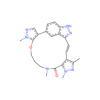 Cc1nn(C)c2c1/C=C/c1n[nH]c3ccc(cc13)-c1cnn(C)c1OCCCN(C)C2=O